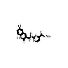 CNC(=O)c1ccnc(N[C@@H](C)c2cc3cc(Cl)ccc3[nH]c2=O)n1